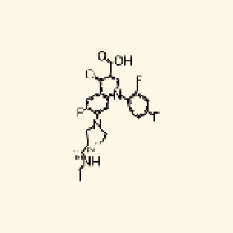 CCN[C@H](C)[C@H]1CCN(c2cc3c(cc2F)c(=O)c(C(=O)O)cn3-c2ccc(F)cc2F)C1